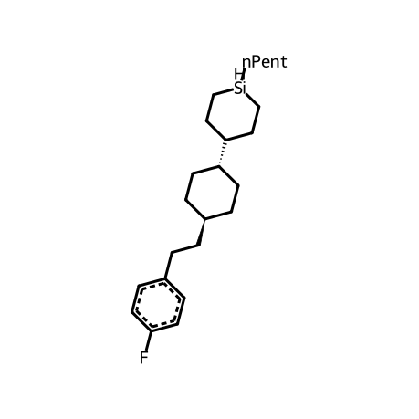 CCCCC[SiH]1CCC([C@H]2CC[C@H](CCc3ccc(F)cc3)CC2)CC1